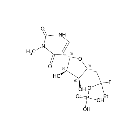 CCC(F)(C[C@H]1O[C@@H](c2c[nH]c(=O)n(C)c2=O)[C@H](O)[C@@H]1O)OP(=O)(O)O